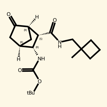 CC1(CNC(=O)[C@@H]2[C@H](NC(=O)OC(C)(C)C)[C@H]3CC(=O)[C@@H]2C3)CCC1